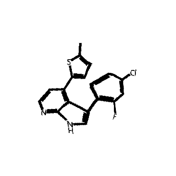 Cc1ccc(-c2ccnc3[nH]cc(-c4ccc(Cl)cc4F)c23)s1